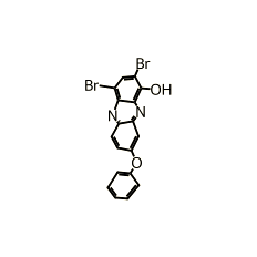 Oc1c(Br)cc(Br)c2nc3ccc(Oc4ccccc4)cc3nc12